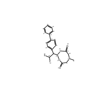 CN1CC(=O)OB(C(c2ccc(-c3ccccc3)cc2)C(F)F)OC(=O)C1